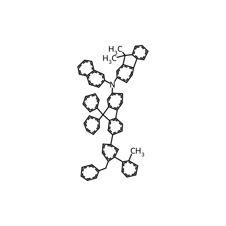 Cc1ccccc1-c1cc(-c2ccc3c(c2)C(c2ccccc2)(c2ccccc2)c2cc(N(c4ccc5c(c4)C(C)(C)c4ccccc4-5)c4ccc5ccccc5c4)ccc2-3)ccc1Cc1ccccc1